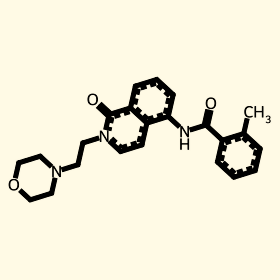 Cc1ccccc1C(=O)Nc1cccc2c(=O)n(CCN3CCOCC3)ccc12